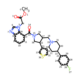 COC(=O)Cn1cnc2cccc(C(=O)N3CC(CN4CCC(c5ccc(F)cc5)CC4)C(c4ccsc4)C3)c21